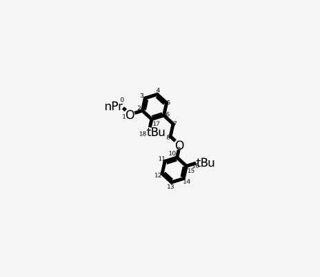 CCCOc1cccc(CCOc2ccccc2C(C)(C)C)c1C(C)(C)C